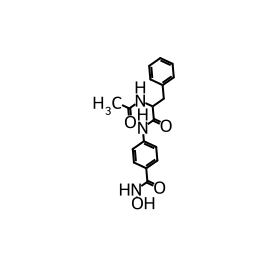 CC(=O)NC(Cc1ccccc1)C(=O)Nc1ccc(C(=O)NO)cc1